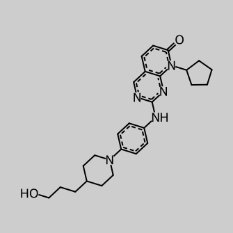 O=c1ccc2cnc(Nc3ccc(N4CCC(CCCO)CC4)cc3)nc2n1C1CCCC1